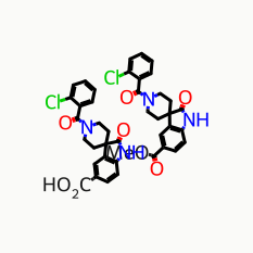 COC(=O)c1ccc2c(c1)C1(CCN(C(=O)c3ccccc3Cl)CC1)C(=O)N2.O=C(O)c1ccc2c(c1)C1(CCN(C(=O)c3ccccc3Cl)CC1)C(=O)N2